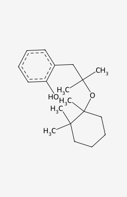 CC(C)(Cc1ccccc1O)OC1(C)CCCCC1(C)C